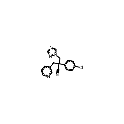 N#CC(Cc1cccnc1)(Cn1cncn1)c1ccc(Cl)cc1